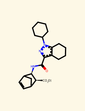 CCOC(=O)[C@H]1C2C=CC(C2)[C@H]1NC(=O)c1nn(C2CCCCC2)c2c1CCCC2